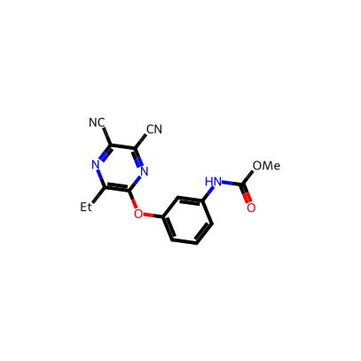 CCc1nc(C#N)c(C#N)nc1Oc1cccc(NC(=O)OC)c1